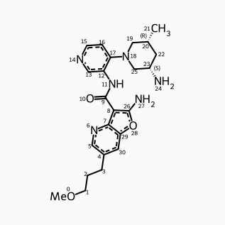 COCCCc1cnc2c(C(=O)Nc3cnccc3N3C[C@H](C)C[C@H](N)C3)c(N)oc2c1